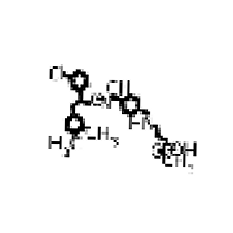 C/C(=N\OCC(Cc1ccc(C)c(C)c1)c1cccc(Cl)c1)c1ccc(CNCCCP(C)(=O)O)cc1